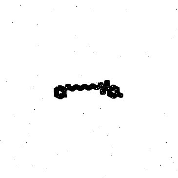 Cc1ccc(S(=O)(=O)OCCCCCCCOc2ccccn2)cc1